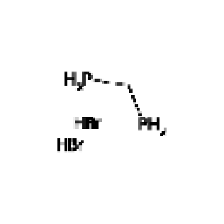 Br.Br.PCP